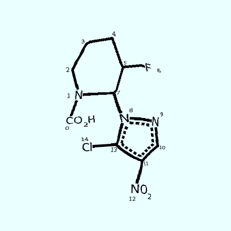 O=C(O)N1CCCC(F)C1n1ncc([N+](=O)[O-])c1Cl